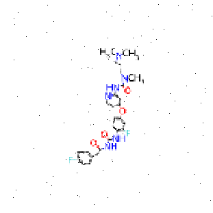 CN(C)CCCN(C)C(=O)Nc1cc(Oc2ccc(NC(=O)NC(=O)Cc3ccc(F)cc3)c(F)c2)ccn1